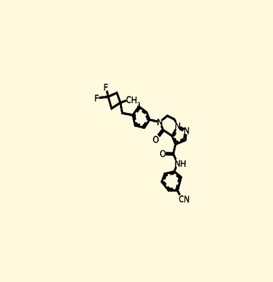 CC1(Cc2ccc(N3CCn4ncc(C(=O)Nc5cccc(C#N)c5)c4C3=O)cc2)CC(F)(F)C1